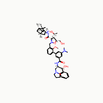 C=C1[C@H]2C[C@H](NC(=O)[C@@H]3[C@H]([C@H](C)O)[C@H](CO)ON3Cc3cccc(-c4cc(C(=O)N[C@H](CN5CCCC5)[C@H](O)c5ccccc5)cc(N(C)C)c4)c3OC)[C@@H](C)[C@@H]1C2